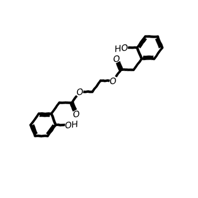 O=C(Cc1ccccc1O)OCCOC(=O)Cc1ccccc1O